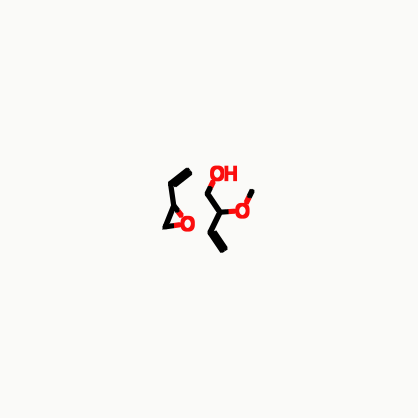 C=CC(CO)OC.C=CC1CO1